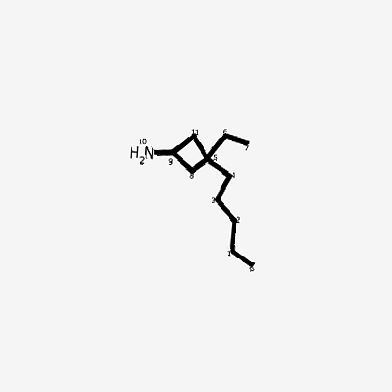 CCCCCC1(CC)CC(N)C1